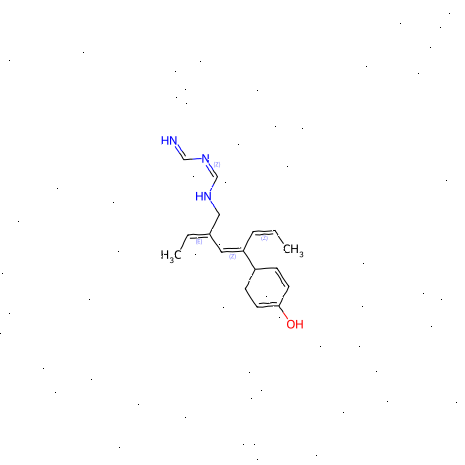 C\C=C/C(=C\C(=C/C)CN/C=N\C=N)C1C=CC(O)=CC1